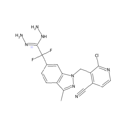 Cc1nn(Cc2c(C#N)ccnc2Cl)c2cc(C(F)(F)/C(=N/N)NN)ccc12